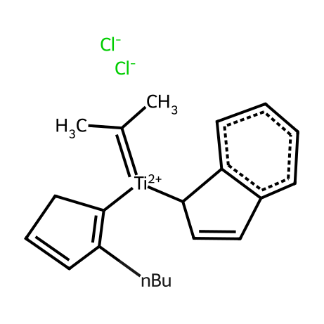 CCCCC1=[C]([Ti+2](=[C](C)C)[CH]2C=Cc3ccccc32)CC=C1.[Cl-].[Cl-]